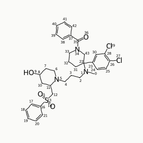 CN(CCCN1CCC(O)CC1CS(=O)(=O)c1ccccc1)C1(c2ccc(Cl)c(Cl)c2)CCCN(C(=O)c2ccccc2)C1